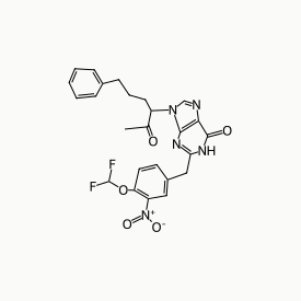 CC(=O)C(CCCc1ccccc1)n1cnc2c(=O)[nH]c(Cc3ccc(OC(F)F)c([N+](=O)[O-])c3)nc21